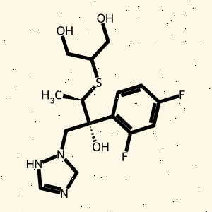 C[C@@H](SC(CO)CO)[C@](O)(CN1CN=CN1)c1ccc(F)cc1F